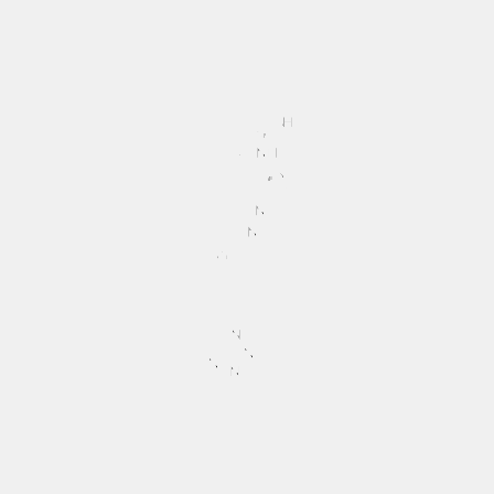 Cc1nnnn1-c1ccc(-c2ccc(O[C@H]3C[C@H]4CC[C@@H](C3)N4)nn2)c(O)c1